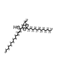 CCCCCCCCCCC/C=C/C(O)C(COCC)OC(=O)CCCCCCCCCCCC